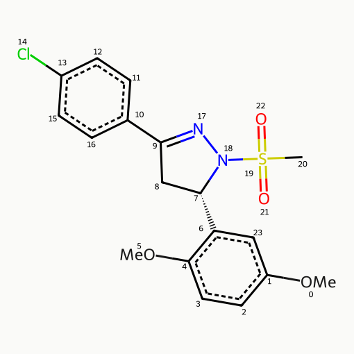 COc1ccc(OC)c([C@@H]2CC(c3ccc(Cl)cc3)=NN2S(C)(=O)=O)c1